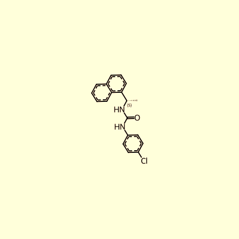 C[C@H](NC(=O)Nc1ccc(Cl)cc1)c1cccc2ccccc12